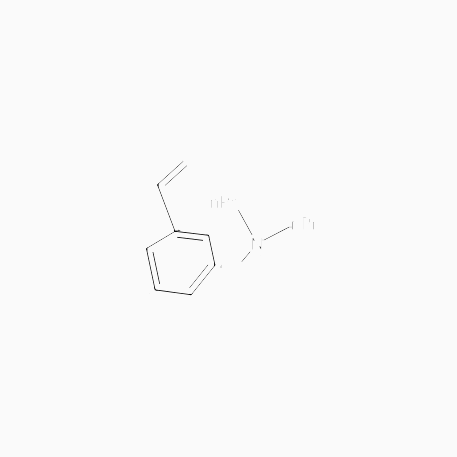 C=Cc1ccccc1.CCCN(C)CCC